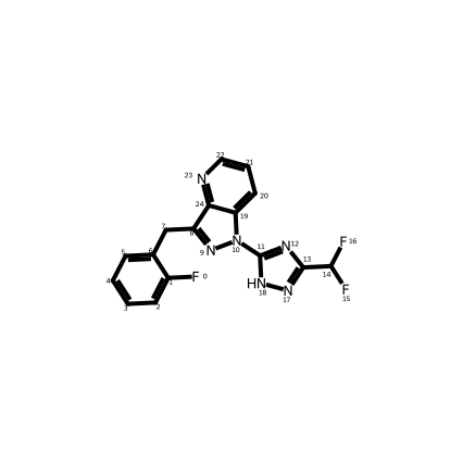 Fc1ccccc1Cc1nn(-c2nc(C(F)F)n[nH]2)c2cccnc12